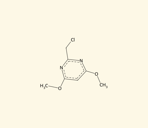 COc1cc(OC)nc(CCl)n1